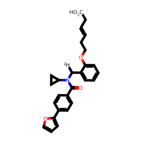 [2H]C(c1ccccc1OCC/C=C/CC(=O)O)N(C(=O)c1ccc(-c2ccco2)cc1)C1CC1